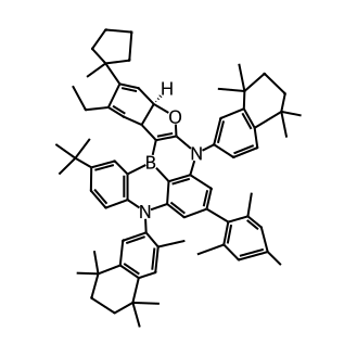 CCC1=CC2C3=C(O[C@@H]2C=C1C1(C)CCCC1)N(c1ccc2c(c1)C(C)(C)CCC2(C)C)c1cc(-c2c(C)cc(C)cc2C)cc2c1B3c1cc(C(C)(C)C)ccc1N2c1cc2c(cc1C)C(C)(C)CCC2(C)C